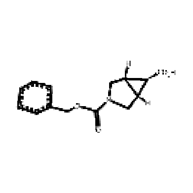 O=C(O)[C@H]1[C@@H]2CN(C(=O)OCc3ccccc3)C[C@@H]21